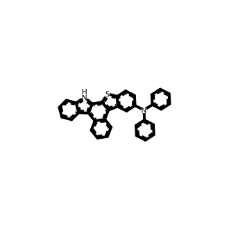 c1ccc(N(c2ccccc2)c2ccc3sc4c5[nH]c6ccccc6c5c5ccccc5c4c3c2)cc1